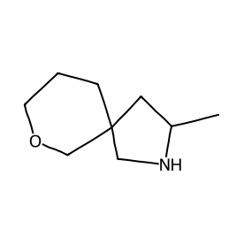 CC1CC2(CCCOC2)CN1